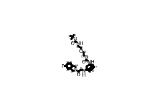 CC(C)(C)OC(=O)NCCOCCOC(=O)NC12CC3CC1CC(NCC(=O)N1Cc4ccc(F)cc4C1)(C3)C2